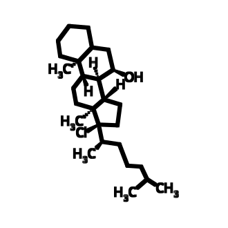 CC(C)CCC[C@@H](C)[C@@]1(Cl)CC[C@H]2[C@@H]3[C@H](O)CC4CCCC[C@]4(C)[C@H]3CC[C@@]21C